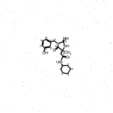 CC1(CC(=O)NC2CCCCC2)NC(=N)N(Cc2cccc(O)c2)C1=O